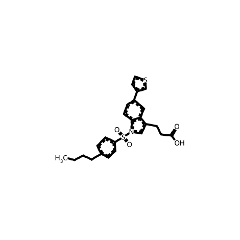 CCCCc1ccc(S(=O)(=O)n2cc(CCC(=O)O)c3cc(-c4ccsc4)ccc32)cc1